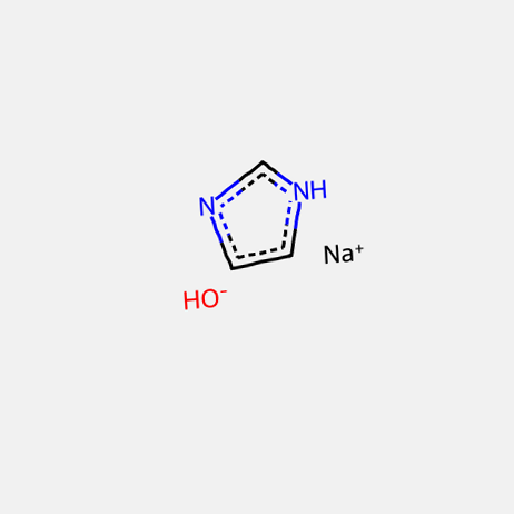 [Na+].[OH-].c1c[nH]cn1